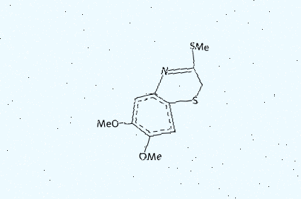 COc1cc2c(cc1OC)SCC(SC)=N2